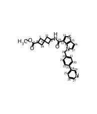 COC(=O)C1CC2(CC(NC(=O)c3csc4ccn(Cc5ccc(-c6cccnc6)cc5)c34)C2)C1